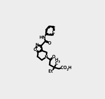 CCC(C)(CC(=O)O)CC(=O)N1CCc2onc(C(=O)Nc3ccccc3)c2C1